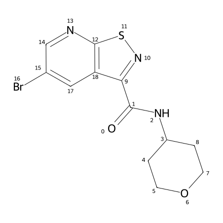 O=C(NC1CCOCC1)c1nsc2ncc(Br)cc12